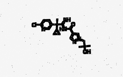 CC(C)(O)Cn1cc(C(=O)NC(=N)[C@@](C)(c2ccc(Cl)nc2)C2CC2)cn1